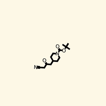 CC(C)(C)OC(=O)N1CCC(CC(=O)CC#N)CC1